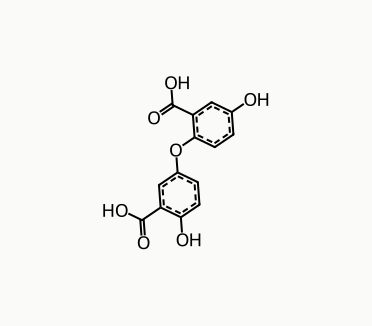 O=C(O)c1cc(Oc2ccc(O)cc2C(=O)O)ccc1O